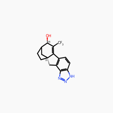 O[C@H]1C(C(F)(F)F)=C2c3ccc4[nH]nnc4c3C[C@@]23CCC1C3